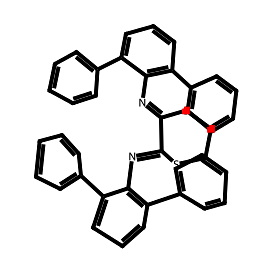 c1ccc(-c2cccc(-c3ccccc3)c2/N=C2\SCCS\C2=N/c2c(-c3ccccc3)cccc2-c2ccccc2)cc1